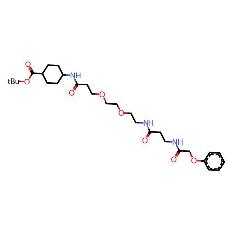 CC(C)(C)OC(=O)C1CCC(NC(=O)CCOCCOCCNC(=O)CCNC(=O)COc2ccccc2)CC1